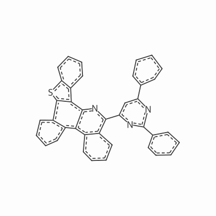 c1ccc(-c2cc(-c3nc4c(c5ccccc35)c3ccccc3c3sc5ccccc5c43)nc(-c3ccccc3)n2)cc1